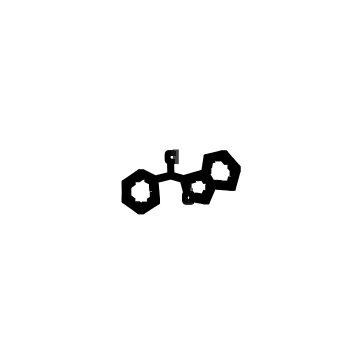 ClC(c1ccccc1)c1occ2ccccc12